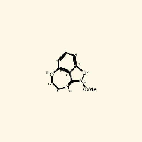 CON1Oc2cccc3c2C1=NCCO3